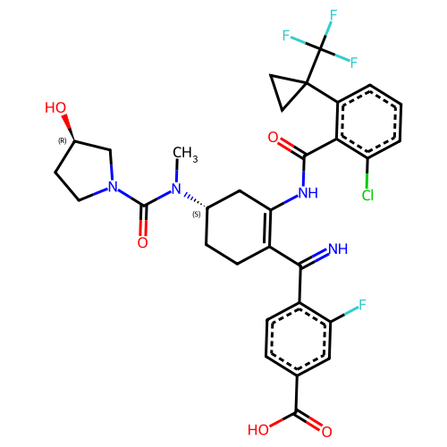 CN(C(=O)N1CC[C@@H](O)C1)[C@H]1CCC(C(=N)c2ccc(C(=O)O)cc2F)=C(NC(=O)c2c(Cl)cccc2C2(C(F)(F)F)CC2)C1